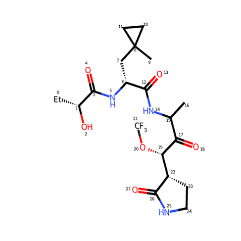 CC[C@@H](O)C(=O)N[C@H](CC1(C)CC1)C(=O)NC(C)C(=O)[C@@H](OC(F)(F)F)[C@@H]1CCNC1=O